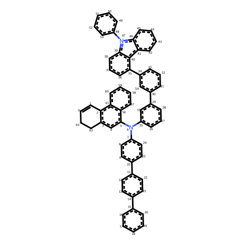 C1=Cc2c(cc(N(c3ccc(-c4ccc(-c5ccccc5)cc4)cc3)c3cccc(-c4cccc(-c5cccc6c5c5ccccc5n6-c5ccccc5)c4)c3)c3ccccc23)CC1